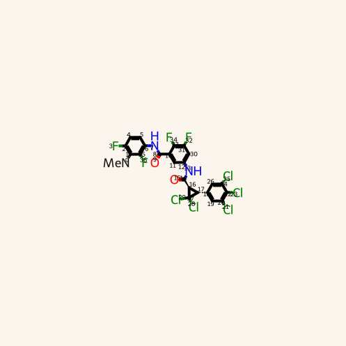 CNc1c(F)ccc(NC(=O)c2cc(NC(=O)[C@H]3[C@H](c4cc(Cl)c(Cl)c(Cl)c4)C3(Cl)Cl)cc(F)c2F)c1F